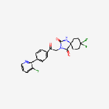 O=C(CN1C(=O)NC2(CCC(F)(F)CC2)C1=O)c1ccc(-c2ncccc2F)cc1